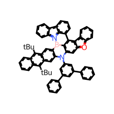 CC(C)(C)c1c2ccccc2c(C(C)(C)C)c2cc3c(cc12)B1c2c(cc4oc5ccccc5c4c2-c2cccc4c5ccccc5n1c24)N3c1cc(-c2ccccc2)cc(-c2ccccc2)c1